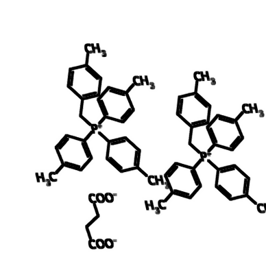 Cc1ccc(C[P+](c2ccc(C)cc2)(c2ccc(C)cc2)c2ccc(C)cc2)cc1.Cc1ccc(C[P+](c2ccc(C)cc2)(c2ccc(C)cc2)c2ccc(C)cc2)cc1.O=C([O-])CCC(=O)[O-]